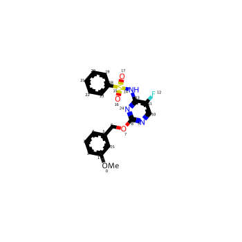 COc1cccc(COc2ncc(F)c(NS(=O)(=O)c3ccccc3)n2)c1